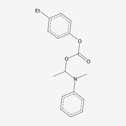 CCc1ccc(OC(=O)OC(C)N(C)c2ccccc2)cc1